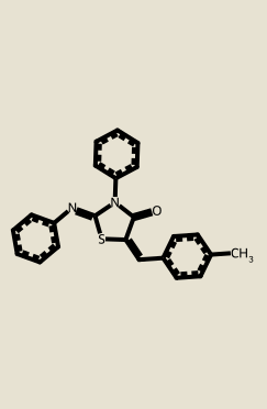 Cc1ccc(C=C2SC(=Nc3ccccc3)N(c3ccccc3)C2=O)cc1